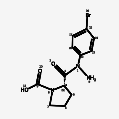 NN(C(=O)[C@@H]1CCCN1C(=O)O)c1ccc(Br)cc1